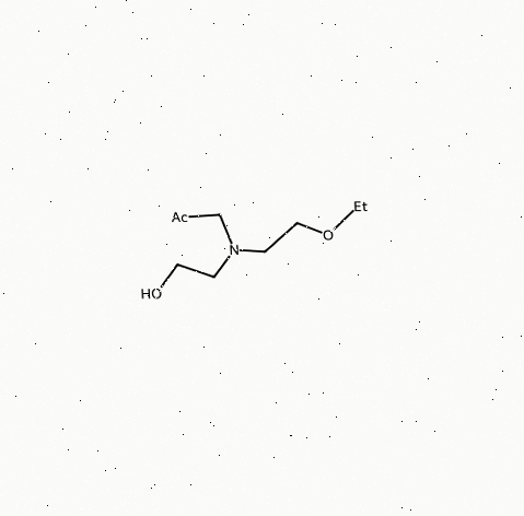 CCOCCN(CCO)CC(C)=O